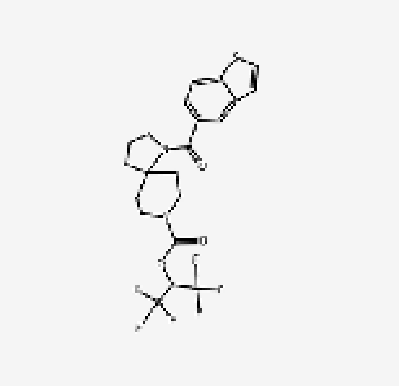 O=C(OC(C(F)(F)F)C(F)(F)F)N1CCC2(CCCN2C(=O)c2ccc3sccc3c2)CC1